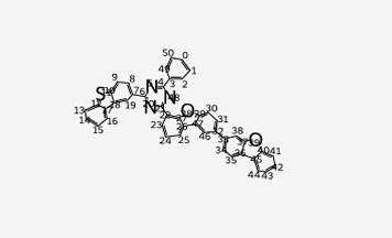 c1ccc(-c2nc(-c3ccc4sc5ccccc5c4c3)nc(-c3cccc4c3oc3ccc(-c5ccc6c(c5)oc5ccccc56)cc34)n2)cc1